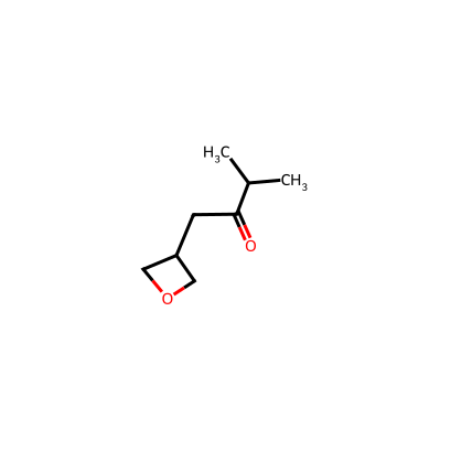 CC(C)C(=O)CC1COC1